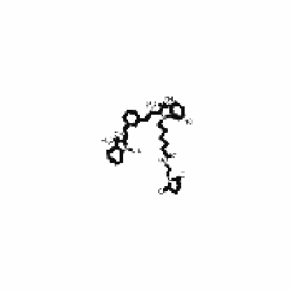 CN1/C(=C/C=C2C=C(/C=C/C3N(CCCCCC(=O)NCCN4C(=O)C=CC4=O)c4ccccc4C3(C)C)CCC2)C(C)(C)c2ccccc21.Cl